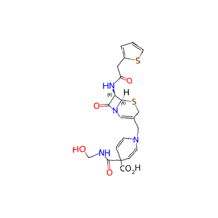 O=C(Cc1cccs1)N[C@@H]1C(=O)N2C=C(CN3C=CC(C(=O)O)(C(=O)NCO)C=C3)CS[C@H]12